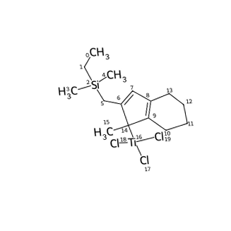 CC[Si](C)(C)CC1=CC2=C(CCCC2)[C]1(C)[Ti]([Cl])([Cl])[Cl]